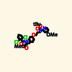 COC(=O)[C@H](Cc1ccc(OCCCN(C(=O)OC(C)(C)C)c2cc(OC)ccn2)cc1)NC(=O)c1c(Cl)cccc1Cl